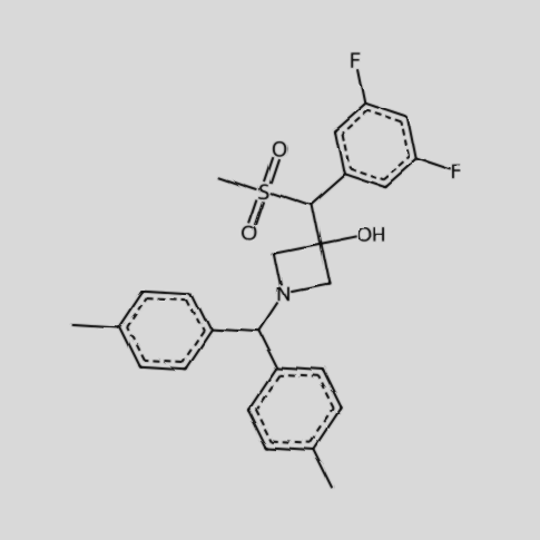 Cc1ccc(C(c2ccc(C)cc2)N2CC(O)(C(c3cc(F)cc(F)c3)S(C)(=O)=O)C2)cc1